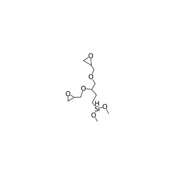 CO[SiH](CCC(COCC1CO1)OCC1CO1)OC